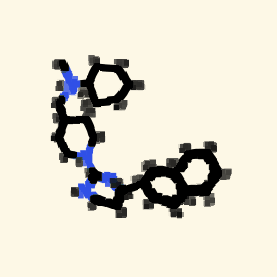 CN(CC1CCN(c2nccc(-c3ccc4ccccc4c3)n2)CC1)C1CCCCC1